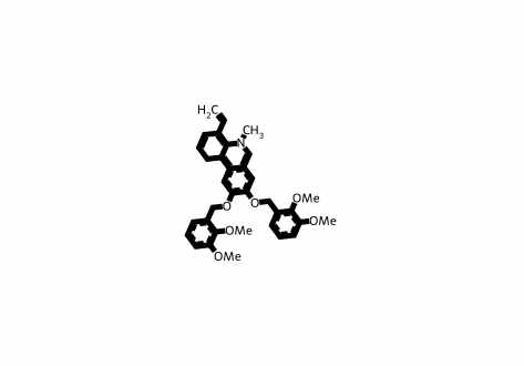 C=CC1=C2C(=c3cc(OCc4cccc(OC)c4OC)c(OCc4cccc(OC)c4OC)cc3=CN2C)CC=C1